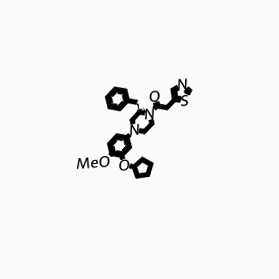 COc1ccc(N2CCN(C(=O)Cc3cncs3)[C@@H](Cc3ccccc3)C2)cc1OC1CCCC1